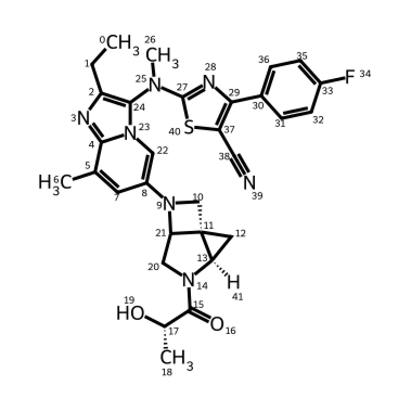 CCc1nc2c(C)cc(N3C[C@]45C[C@H]4N(C(=O)[C@H](C)O)CC35)cn2c1N(C)c1nc(-c2ccc(F)cc2)c(C#N)s1